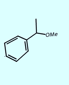 COC(C)c1cc[c]cc1